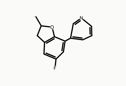 [CH2]C1Cc2cc(F)cc(-c3cccnc3)c2O1